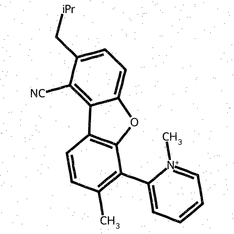 Cc1ccc2c(oc3ccc(CC(C)C)c(C#N)c32)c1-c1cccc[n+]1C